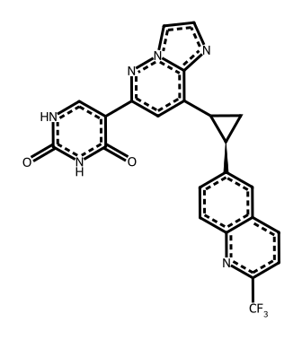 O=c1[nH]cc(-c2cc(C3C[C@H]3c3ccc4nc(C(F)(F)F)ccc4c3)c3nccn3n2)c(=O)[nH]1